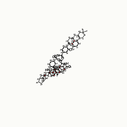 CC1(C)CCC(c2ccc(Cl)cc2)=C(CN2CCN(c3ccc(C(=O)NS(=O)(=O)c4ccc(N[C@H](CCN5C6CCC5CN(Cc5cccc(NC7CCC(=O)NC7=O)c5)C6)CSc5ccccc5)c(S(=O)(=O)C(F)(F)F)c4)cc3)CC2)C1